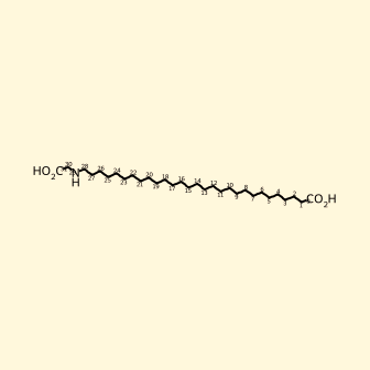 O=C(O)CCCCCCCCCCCCCCCCCCCCCCCCCCCCNCC(=O)O